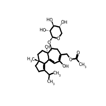 CC(=O)OCC1=C(O)C=C2C3=C(C(C)C)CC[C@]3(C)CC[C@@]2(C)[C@@H](O[C@@H]2OC[C@@H](O)[C@H](O)[C@H]2O)C1